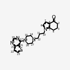 O=C1CCCc2c1ccn2CCCN1CCN(c2ncnc3ccsc23)CC1